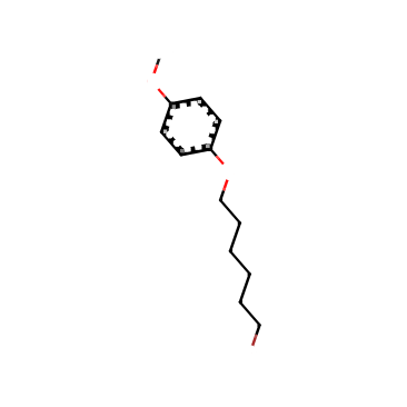 CC(C)Oc1ccc(OCCCCCCBr)cc1